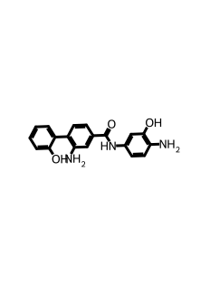 Nc1ccc(NC(=O)c2ccc(-c3ccccc3O)c(N)c2)cc1O